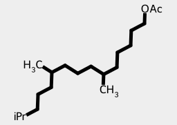 CC(=O)OCCCCCC(C)CCCC(C)CCCC(C)C